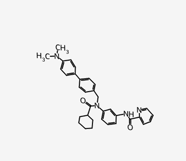 CN(C)c1ccc(-c2ccc(CN(C(=O)C3CCCCC3)c3cccc(NC(=O)c4ccccn4)c3)cc2)cc1